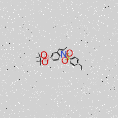 CCc1ccc(S(=O)(=O)n2c(C)cc3cc(B4OC(C)(C)C(C)(C)O4)ccc32)cc1